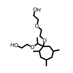 CC1CC(C)CC(OCCOCCO)(C(C)OCCO)C(C)C1